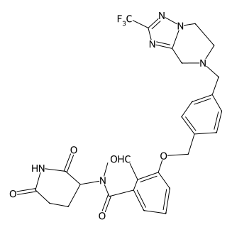 CN(C(=O)c1cccc(OCc2ccc(CN3CCn4nc(C(F)(F)F)nc4C3)cc2)c1C=O)C1CCC(=O)NC1=O